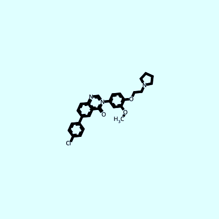 COc1cc(-n2cnc3ccc(-c4ccc(Cl)cc4)cc3c2=O)ccc1OCCN1CCCC1